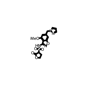 COc1cc(Cn2cccn2)cc2onc(NS(=O)(=O)C3CCOC3=O)c12